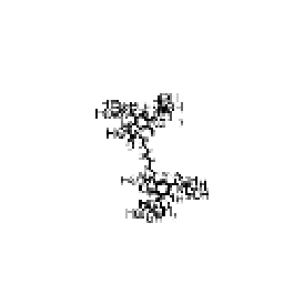 CC(O)(CO)NC(=O)c1c(I)c(C(=O)NC(C)(O)CO)c(I)c(N(CCCCCCCN(C(=O)CO)c2c(I)c(C(=O)NC(C)(O)CO)c(I)c(C(=O)NC(C)(O)CO)c2I)C(=O)CO)c1I